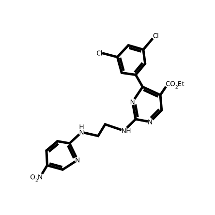 CCOC(=O)c1cnc(NCCNc2ccc([N+](=O)[O-])cn2)nc1-c1cc(Cl)cc(Cl)c1